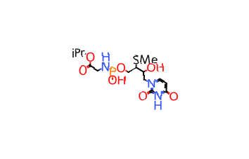 CSC(COP(O)NCC(=O)OC(C)C)C(O)Cn1ccc(=O)[nH]c1=O